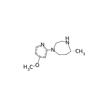 COc1ccnc(N2CCN[C@H](C)CC2)c1